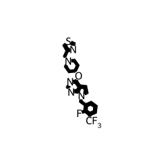 Fc1c(Cn2ccc3c(OC4CCN(Cc5cscn5)CC4)ncnc32)cccc1C(F)(F)F